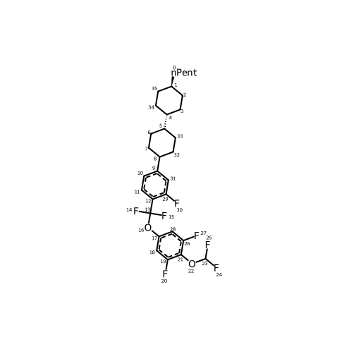 CCCCC[C@H]1CC[C@H](C2CCC(c3ccc(C(F)(F)Oc4cc(F)c(OC(F)F)c(F)c4)c(F)c3)CC2)CC1